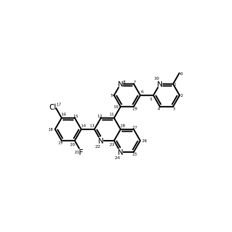 Cc1cccc(-c2cncc(-c3cc(-c4cc(Cl)ccc4F)nc4ncccc34)c2)n1